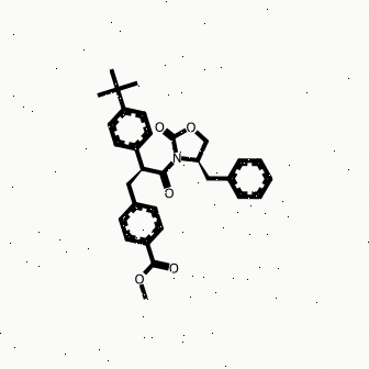 COC(=O)c1ccc(C[C@H](C(=O)N2C(=O)OC[C@H]2Cc2ccccc2)c2ccc(C(C)(C)C)cc2)cc1